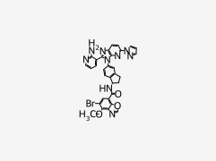 COc1c(Br)cc(C(=O)N[C@H]2CCc3cc(-n4c(-c5cccnc5N)nc5ccc(-n6cccn6)nc54)ccc32)c2ocnc12